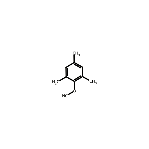 Cc1cc(C)c(OC#N)c(C)c1